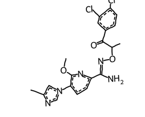 COc1nc(C(N)=NOC(C)C(=O)c2ccc(Cl)c(Cl)c2)ccc1-n1cnc(C)c1